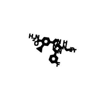 CC(C)CNc1nc(-c2cccc(F)c2)cn2c(-c3ccc(C(N)=O)c(C4CC4)c3)cnc12